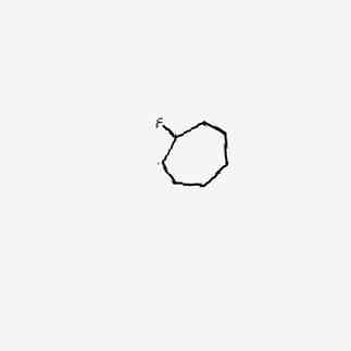 FC1[CH]CCCCC1